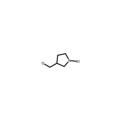 CCN1CCC(C[O])C1